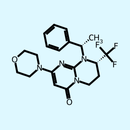 C[C@@H](c1ccccc1)N1c2nc(N3CCOCC3)cc(=O)n2CC[C@H]1C(F)(F)F